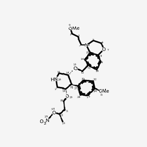 COCCCN1CCOc2ccc(CO[C@H]3CNC[C@@H](OCCC(C)O[N+](=O)[O-])[C@@H]3c3ccc(OC)cc3)cc21